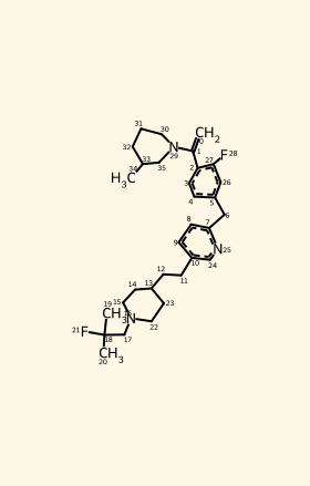 C=C(c1ccc(Cc2ccc(CCC3CCN(CC(C)(C)F)CC3)cn2)cc1F)N1CCCC(C)C1